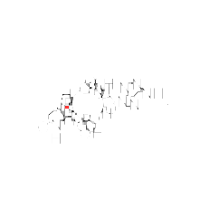 Nc1ncnc2c1ncn2[C@@H]1O[C@@H]2COP(=O)(OO)O[C@@H]3[C@H](F)[C@@H](COP(=O)(S)O[C@H]2[C@H]1F)O[C@H]3n1ccc(=O)[nH]c1=O